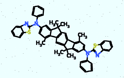 Cc1cc(N(c2ccccc2)c2nc3ccccc3s2)cc2c1-c1cc3c(cc1C2(C)C)-c1c(C)cc(N(c2ccccc2)c2nc4ccccc4s2)cc1C3(C)C